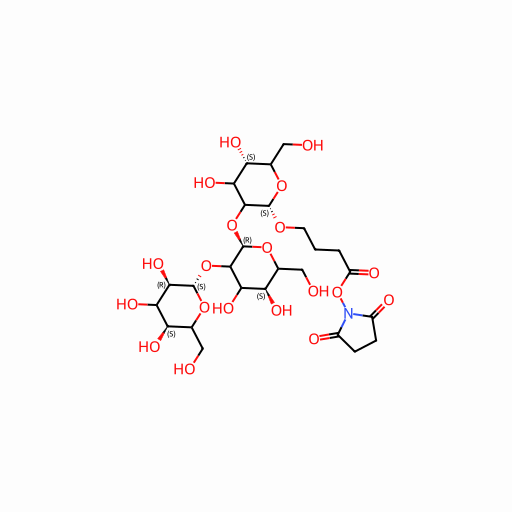 O=C(CCCO[C@H]1OC(CO)[C@@H](O)C(O)C1O[C@H]1OC(CO)[C@@H](O)C(O)C1O[C@@H]1OC(CO)[C@@H](O)C(O)[C@H]1O)ON1C(=O)CCC1=O